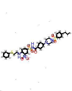 CCCc1ccc(S(=O)(=O)N2CCN(c3ccc(C(=O)NS(=O)(=O)c4ccc(NCCSc5ccccc5)c([N+](=O)[O-])c4)cc3)CC2)cc1